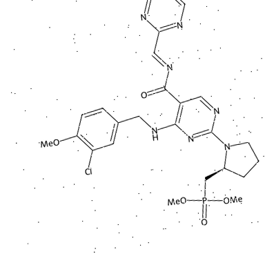 COc1ccc(CNc2nc(N3CCC[C@H]3CP(=O)(OC)OC)ncc2C(=O)N=Cc2ncccn2)cc1Cl